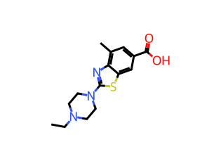 CCN1CCN(c2nc3c(C)cc(C(=O)O)cc3s2)CC1